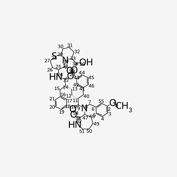 COc1cccc(CN(C(=O)[C@H](CC[C@H](Cc2ccccc2)C(=O)NC2CCSC3CCCC(C(=O)O)N3C2=O)Cc2ccccc2)C2CCCCNC2=O)c1